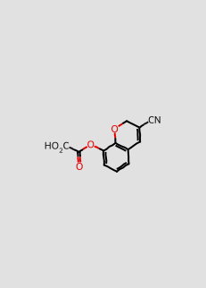 N#CC1=Cc2cccc(OC(=O)C(=O)O)c2OC1